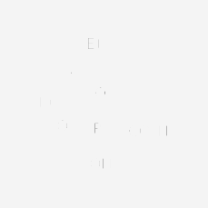 CCC(C)(CC)OP(=O)(O)C(=O)O